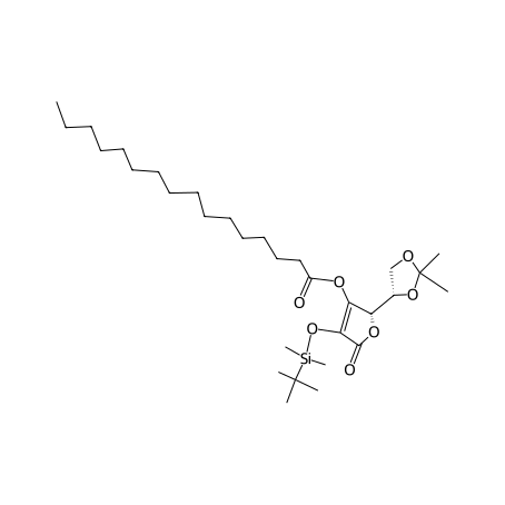 CCCCCCCCCCCCCCCC(=O)OC1=C(O[Si](C)(C)C(C)(C)C)C(=O)O[C@H]1[C@@H]1COC(C)(C)O1